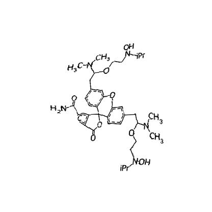 CC(C)N(O)CCOC(Cc1ccc2c(c1)Oc1cc(CC(OCCN(O)C(C)C)N(C)C)ccc1C21OC(=O)c2ccc(C(N)=O)cc21)N(C)C